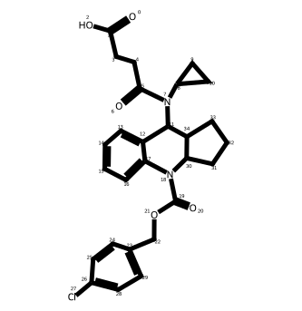 O=C(O)CCC(=O)N(C1CC1)C1c2ccccc2N(C(=O)OCc2ccc(Cl)cc2)C2CCCC21